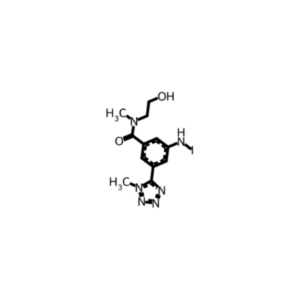 CN(CCO)C(=O)c1cc(NI)cc(-c2nnnn2C)c1